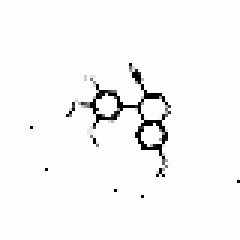 COc1ccc2c(c1)OC=C(C#N)C2c1cc(Br)c(OC)c(OC)c1